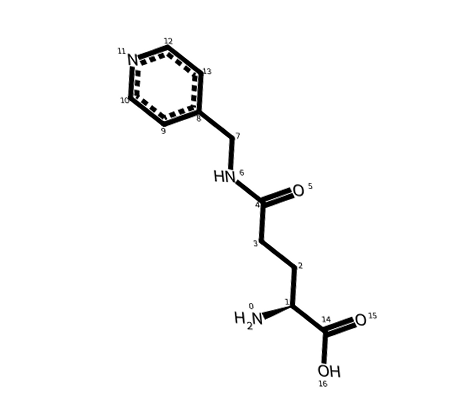 N[C@@H](CCC(=O)NCc1ccncc1)C(=O)O